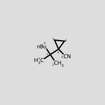 CCCCC(C)(C)C1(C#N)CC1